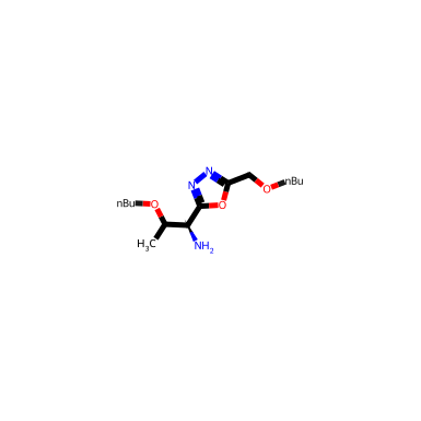 CCCCOCc1nnc([C@@H](N)C(C)OCCCC)o1